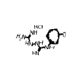 Cl.N=C(N)NNC(=N)Nc1cccc(Cl)c1